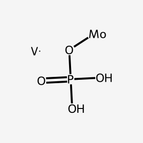 O=P(O)(O)[O][Mo].[V]